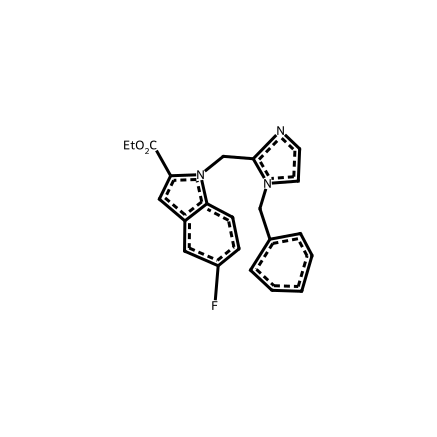 CCOC(=O)c1cc2cc(F)ccc2n1Cc1nccn1Cc1ccccc1